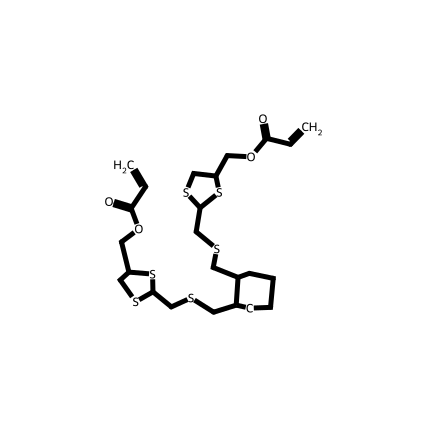 C=CC(=O)OCC1CSC(CSCC2CCCCC2CSCC2SCC(COC(=O)C=C)S2)S1